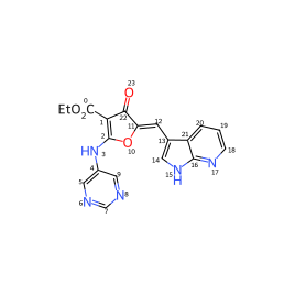 CCOC(=O)C1=C(Nc2cncnc2)O/C(=C\c2c[nH]c3ncccc23)C1=O